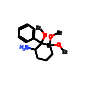 CCOC1(c2ccccc2)C(N)CCC[Si]1(OCC)OCC